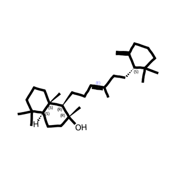 C=C1CCCC(C)(C)[C@@H]1CC/C(C)=C/CC[C@@H]1[C@@]2(C)CCCC(C)(C)[C@@H]2CC[C@@]1(C)O